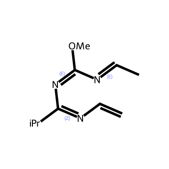 C=C\N=C(/N=C(\N=C\C)OC)C(C)C